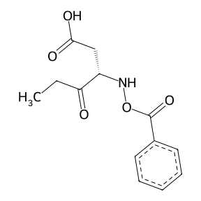 CCC(=O)[C@H](CC(=O)O)NOC(=O)c1ccccc1